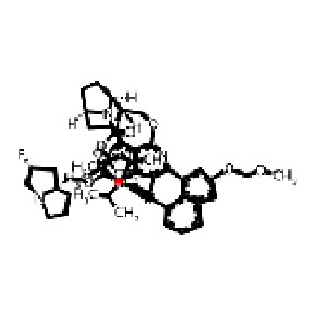 COCOc1cc(-c2nc3c4c(nc(OC[C@]56CCCN5C[C@H](F)C6)nc4c2F)N2C[C@H]4CC[C@@H]([C@@H]2CO3)N4C(=O)OC(C)(C)C)c2c(C#C[Si](C(C)C)(C(C)C)C(C)C)cccc2c1